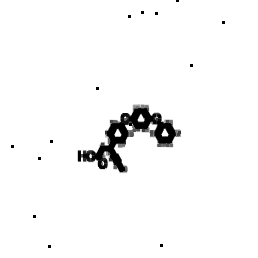 CC#CC(CC(=O)O)c1ccc(Oc2ccc(Oc3ccccc3)cc2)cc1